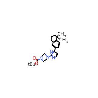 CC(C)(C)OC(=O)N1CCN(c2nccc(-c3ccc4c(c3)CCCC4(C)C)n2)CC1